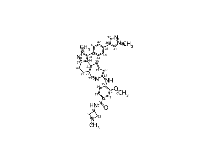 COc1cc(C(=O)NC2CN(C)C2)ccc1NC1=C/C=C/C2=C(/C=N\1)CCc1nn(C)c(-c3ccc(-c4cnn(C)c4)cc3)c12